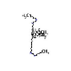 CCCCC/C=C\C/C=C\CCCCCCCCC(CCCCCCCC/C=C\C/C=C\CCCCC)SSCC(C)(C)C(C)(C)N(C)C